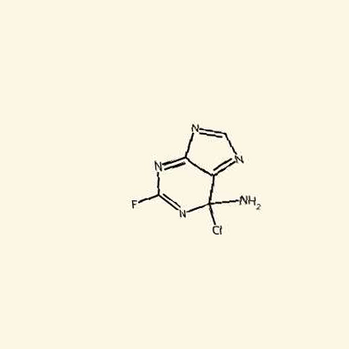 NC1(Cl)N=C(F)N=C2N=CN=C21